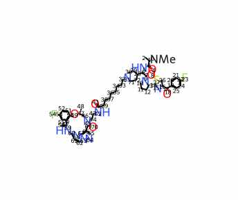 CN[C@@H](C)C(=O)N[C@H](C(=O)N1CCC[C@H]1C1=NC(C(=O)c2ccc(F)cc2)CS1)C1CCN(CCCCCCCCC(=O)NCCN2C[C@H](C)Oc3ccc(F)cc3C(C)Nc3ccn4ncc(c4n3)C2=O)CC1